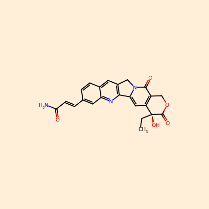 CC[C@@]1(O)C(=O)OCc2c1cc1n(c2=O)Cc2cc3ccc(C=CC(N)=O)cc3nc2-1